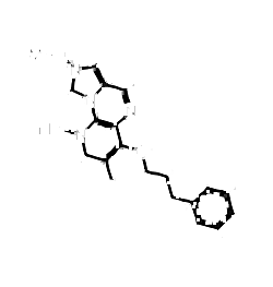 CCCN1CC(C)=C(OCCCc2ccccc2)C2=C1N1CN(OC)C=C1C=N2